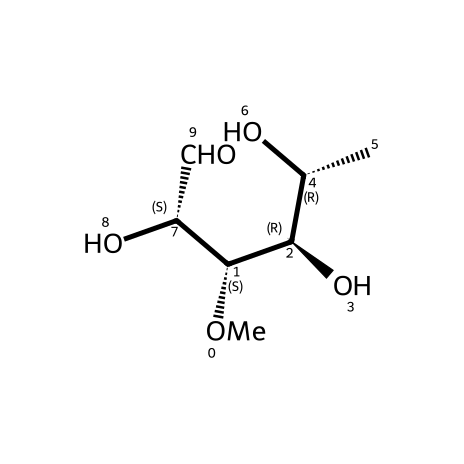 CO[C@@H]([C@H](O)[C@@H](C)O)[C@H](O)C=O